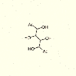 CC(=O)C(O)C(O)C(O)C(O)C(C)=O